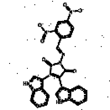 O=C1C(c2c[nH]c3ccccc23)=C(c2c[nH]c3ccccc23)C(=O)N1/N=C/c1ccc([N+](=O)[O-])cc1[N+](=O)[O-]